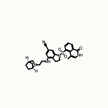 Cc1c[nH]c(=O)c2cccc(S(=O)(=O)N3CCc4c(NCCN5C[C@@H]6CC[C@H]5C6)cc(C#N)cc43)c12